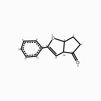 O=C1CCC2OC(c3ccccc3)=CC12